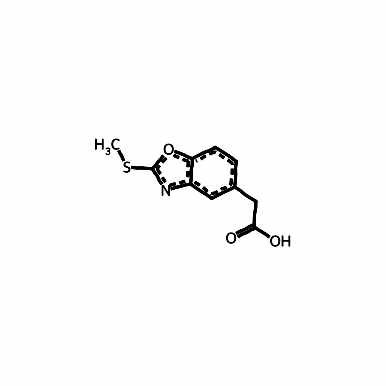 CSc1nc2cc(CC(=O)O)ccc2o1